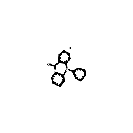 O=C([O-])c1ccccc1P(c1ccccc1)c1ccccc1.[K+]